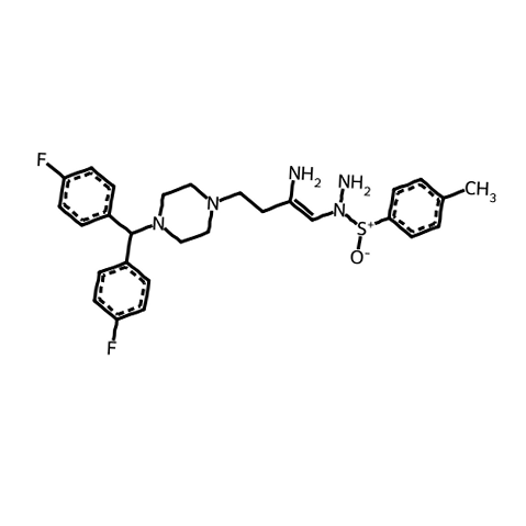 Cc1ccc([S+]([O-])N(N)/C=C(\N)CCN2CCN(C(c3ccc(F)cc3)c3ccc(F)cc3)CC2)cc1